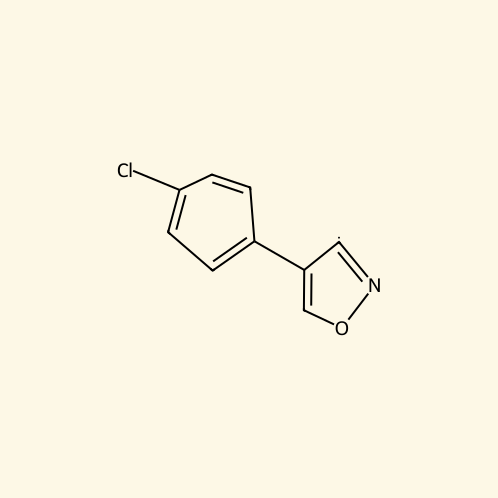 Clc1ccc(-c2[c]noc2)cc1